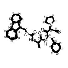 CC(NC(=O)OCC1c2ccccc2-c2ccccc21)C(=O)N[C@@H](Cc1ccccc1)C(=O)C(C#N)=S1CCCC1